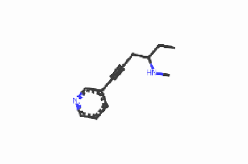 CCC(CC#Cc1cccnc1)NC